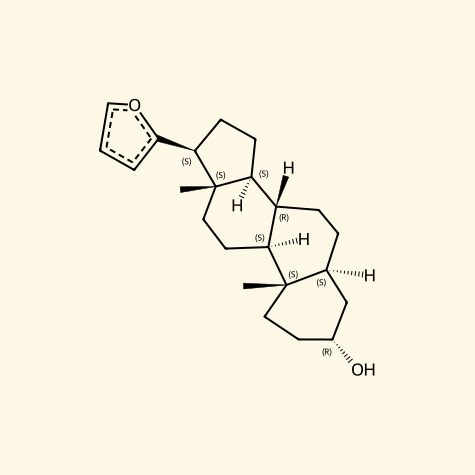 C[C@]12CC[C@@H](O)C[C@@H]1CC[C@@H]1[C@@H]2CC[C@]2(C)[C@@H](c3ccco3)CC[C@@H]12